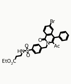 CCOC(=O)CCNS(=O)(=O)c1ccc(Cn2c(C(C)=O)c(-c3ccccc3)c3cc(Br)ccc3c2=O)cc1